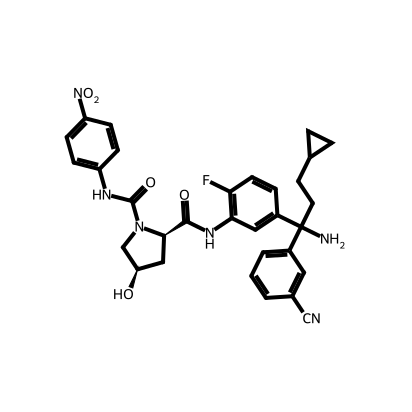 N#Cc1cccc(C(N)(CCC2CC2)c2ccc(F)c(NC(=O)[C@H]3C[C@@H](O)CN3C(=O)Nc3ccc([N+](=O)[O-])cc3)c2)c1